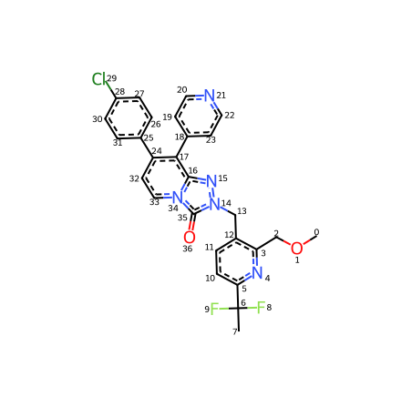 COCc1nc(C(C)(F)F)ccc1Cn1nc2c(-c3ccncc3)c(-c3ccc(Cl)cc3)ccn2c1=O